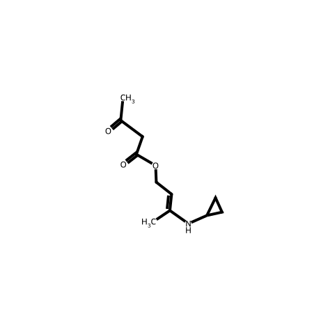 CC(=O)CC(=O)OCC=C(C)NC1CC1